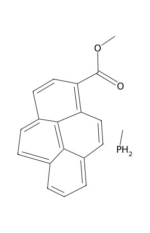 COC(=O)c1ccc2ccc3cccc4ccc1c2c34.CP